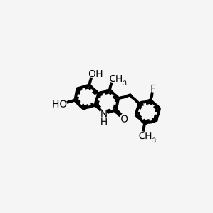 Cc1ccc(F)c(Cc2c(C)c3c(O)cc(O)cc3[nH]c2=O)c1